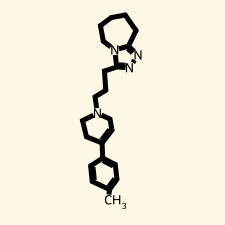 Cc1ccc(C2=CCN(CCCc3nnc4n3CCCCC4)CC2)cc1